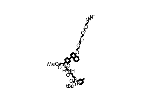 COC(=O)C[C@H](NC(=O)CNC(=O)CCCN(C(=O)OC(C)(C)C)c1cc(C)ccn1)c1ccc(-c2ccc(OCCOCCOCCOCCOCCN=[N+]=[N-])c3c2CCCC3)cc1